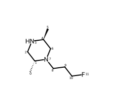 C[C@@H]1CN[C@@H](C)CN1CCCF